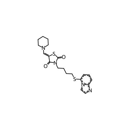 O=C1SC(=CN2CCCCC2)C(=O)N1CCCCSc1cccc2nccn12